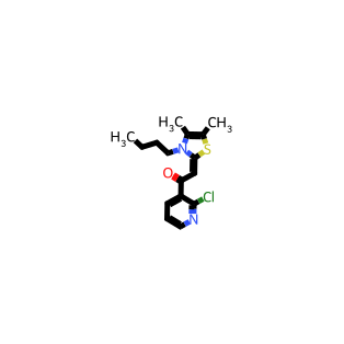 CCCCN1C(=CC(=O)c2cccnc2Cl)SC(C)=C1C